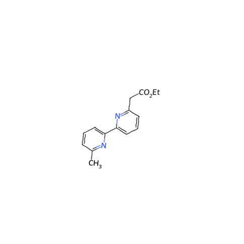 CCOC(=O)Cc1cccc(-c2cccc(C)n2)n1